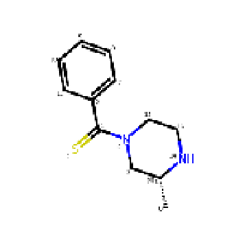 C[C@@H]1CN(C(=S)c2ccccc2)CCN1